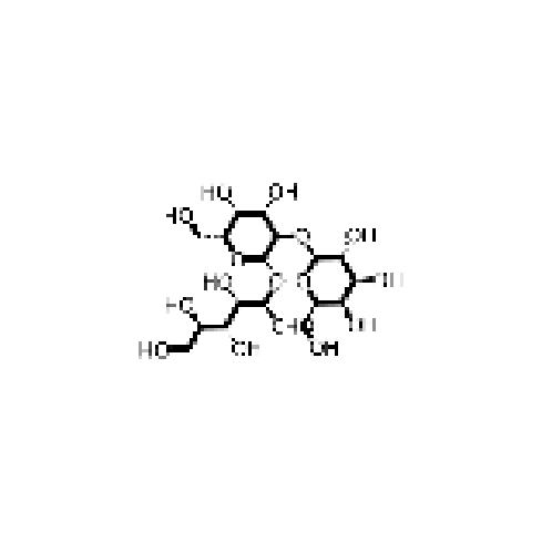 O=C[C@H](O[C@@H]1O[C@H](CO)[C@H](O)[C@H](O)[C@H]1O[C@@H]1O[C@H](CO)[C@H](O)[C@H](O)[C@H]1O)[C@@H](O)[C@H](O)[C@H](O)CO